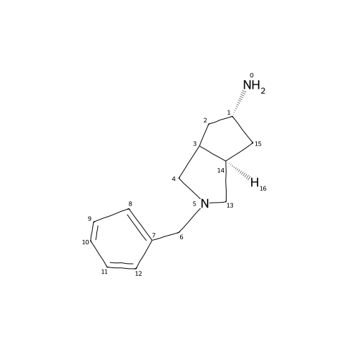 N[C@H]1CC2CN(Cc3ccccc3)C[C@@H]2C1